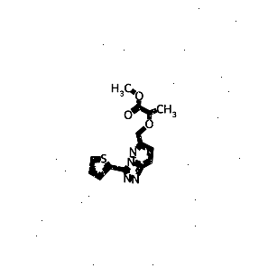 COC(=O)C(C)OCc1ccc2nnc(-c3cccs3)n2n1